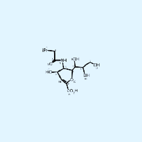 CC(C)CC(=O)NC1C(C(O)C(O)CO)OC(C(=O)O)=C[C@H]1O